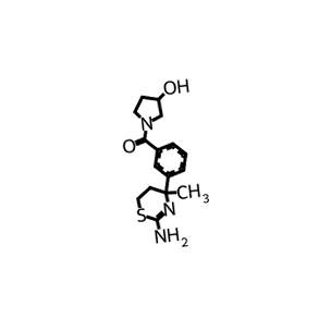 CC1(c2cccc(C(=O)N3CCC(O)C3)c2)CCSC(N)=N1